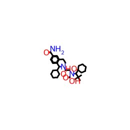 CC(C)(C)C(N(CC(=O)N1CCc2cc(C(N)=O)ccc2C1C1CCCCC1)C(=O)O)C1(O)CCCCC1